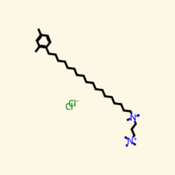 Cc1ccc(CCCCCCCCCCCCCCCCCC[N+](C)(C)CCC[N+](C)(C)C)c(C)c1.[Cl-].[Cl-]